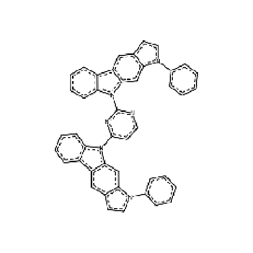 c1ccc(-n2ccc3cc4c5ccccc5n(-c5ccnc(-n6c7ccccc7c7cc8ccn(-c9ccccc9)c8cc76)n5)c4cc32)cc1